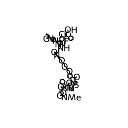 C=CC(=O)N1CCN(c2nc(NCCC(=O)N(C)CCOCCOCCOc3cccc(C(=O)c4csc([C@@H]5CCCN5C(=O)C(NC(=O)C(C)OC(=O)NC)C5CCCCC5)n4)c3)nc3c(F)c(/C(=C/CO)c4ccccc4C)c(Cl)cc23)CC1